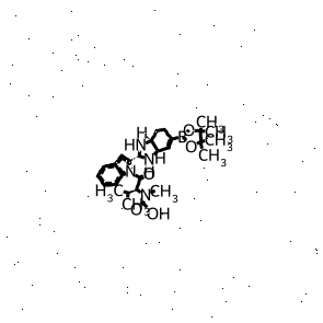 CC(C)[C@@H](C(=O)n1c([C@H]2N[C@H]3C=C(B4OC(C)(C)C(C)(C)O4)CC[C@@H]3N2)cc2ccccc21)N(C)C(=O)O